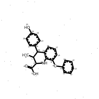 CC1C(C(=O)O)Nc2c(Oc3ccccc3)cccc2C1c1ccc(O)cc1